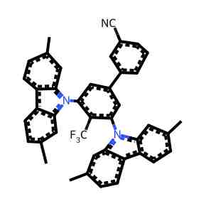 Cc1ccc2c3ccc(C)cc3n(-c3cc(-c4cccc(C#N)c4)cc(-n4c5cc(C)ccc5c5ccc(C)cc54)c3C(F)(F)F)c2c1